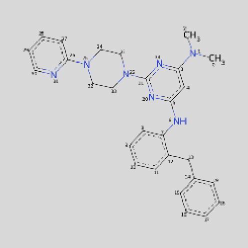 CN(C)c1cc(Nc2ccccc2Cc2ccccc2)nc(N2CCN(c3ccccn3)CC2)n1